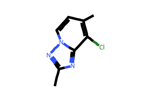 Cc1nc2c(Cl)c(C)ccn2n1